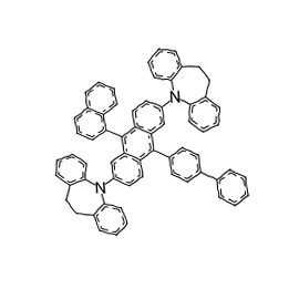 c1ccc(-c2ccc(-c3c4cc(N5c6ccccc6CCc6ccccc65)ccc4c(-c4cccc5ccccc45)c4cc(N5c6ccccc6CCc6ccccc65)ccc34)cc2)cc1